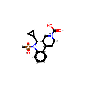 CS(=O)(=O)N(CC1CC1)c1ccccc1C1CCN(C(=O)O)CC1